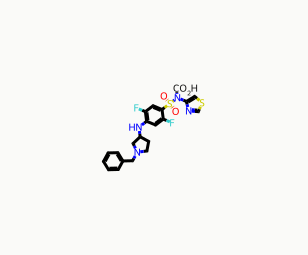 O=C(O)N(c1cscn1)S(=O)(=O)c1cc(F)c(NC2CCN(Cc3ccccc3)C2)cc1F